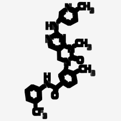 Cc1ccc(Nc2ncc3c(n2)N(C)C(=O)N(c2cc(C(=O)Nc4cccc(C(F)(F)F)c4)ccc2C)C3)cn1